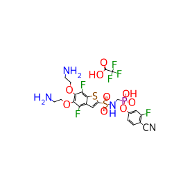 N#Cc1ccc(OP(=O)(O)CNS(=O)(=O)c2cc3c(F)c(OCCN)c(OCCN)c(F)c3s2)cc1F.O=C(O)C(F)(F)F